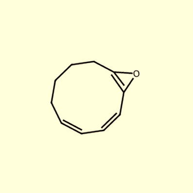 C1=CCCCCC2=C(C=C1)O2